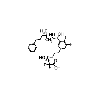 CC(C)(CCCc1ccccc1)NC[C@@H](O)c1cc(CCCC(=O)O)cc(F)c1F.O=C(O)C(F)(F)F